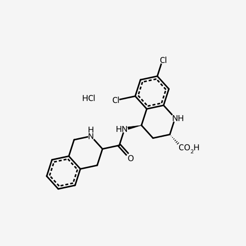 Cl.O=C(N[C@@H]1C[C@@H](C(=O)O)Nc2cc(Cl)cc(Cl)c21)C1Cc2ccccc2CN1